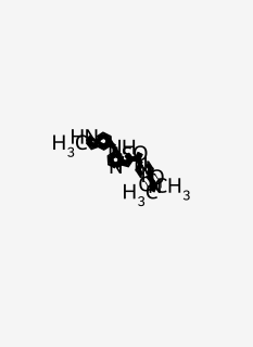 Cc1cc2cc(Nc3ccnc4cc(C(=O)N5CCN(S(=O)(=O)N(C)C)CC5)sc34)ccc2[nH]1